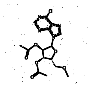 COC[C@H]1OC(n2cnc3c(Cl)ncnc32)[C@H](OC(C)=O)[C@@H]1OC(C)=O